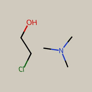 CN(C)C.OCCCl